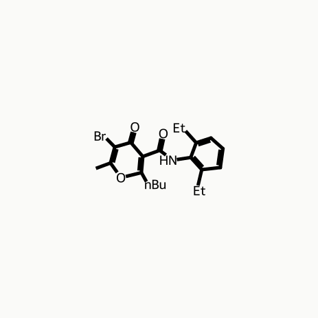 CCCCc1oc(C)c(Br)c(=O)c1C(=O)Nc1c(CC)cccc1CC